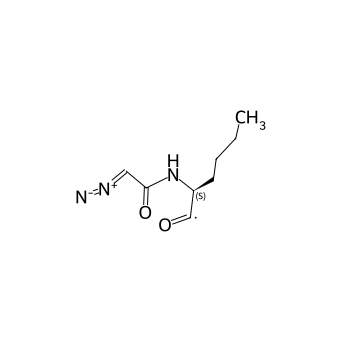 CCCC[C@@H]([C]=O)NC(=O)C=[N+]=[N-]